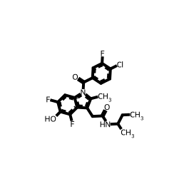 CCC(C)NC(=O)Cc1c(C)n(C(=O)c2ccc(Cl)c(F)c2)c2cc(F)c(O)c(F)c12